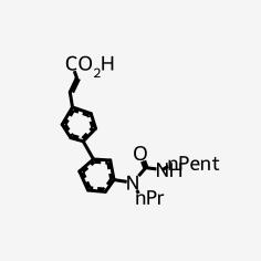 CCCCCNC(=O)N(CCC)c1cccc(-c2ccc(C=CC(=O)O)cc2)c1